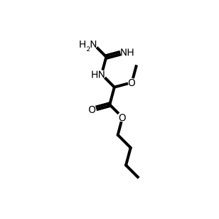 CCCCOC(=O)C(NC(=N)N)OC